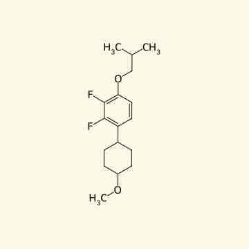 COC1CCC(c2ccc(OCC(C)C)c(F)c2F)CC1